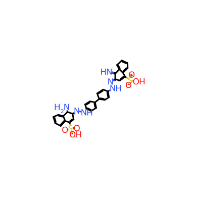 N=C1/C(=N/Nc2ccc(-c3ccc(N/N=C4\C=C(S(=O)(=O)O)c5ccccc5C4N)cc3)cc2)C=C(S(=O)(=O)O)c2ccccc21